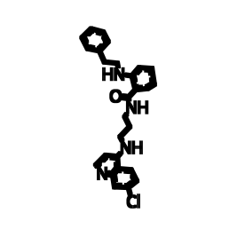 O=C(NCCCNc1ccnc2cc(Cl)ccc12)c1ccccc1NCCc1ccccc1